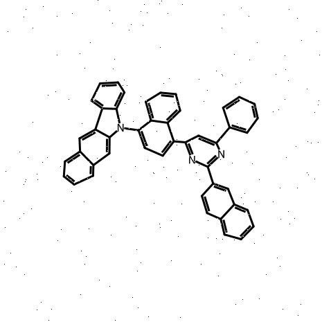 c1ccc(-c2cc(-c3ccc(-n4c5ccccc5c5cc6ccccc6cc54)c4ccccc34)nc(-c3ccc4ccccc4c3)n2)cc1